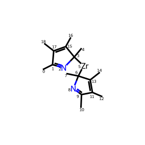 CC1=N[C](C)([Zr][C]2(C)N=C(C)C(C)=C2C)C(C)=C1C